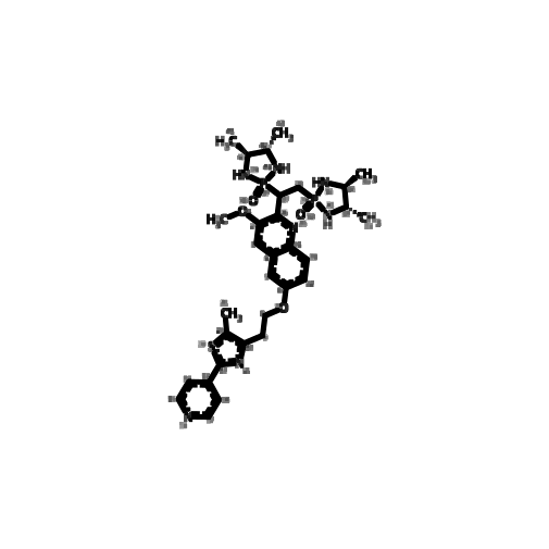 COc1cc2cc(OCCc3nc(-c4ccncc4)sc3C)ccc2nc1C(CP1(=O)N[C@@H](C)[C@H](C)N1)P1(=O)N[C@@H](C)[C@H](C)N1